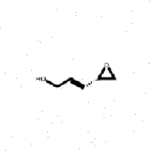 OCC=C[C@H]1CO1